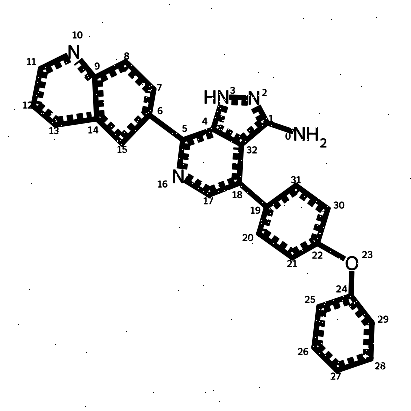 Nc1n[nH]c2c(-c3ccc4ncccc4c3)ncc(-c3ccc(Oc4ccccc4)cc3)c12